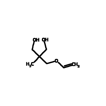 C=COCC(C)(CO)CO